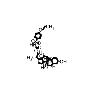 CCCOc1ccc(S(=O)(=O)NC(=O)OC[C@@H](C)[C@H]2CC[C@H]3[C@@H]4[C@H](O)C[C@@H]5C[C@H](O)CC[C@]5(C)[C@H]4CC[C@]23C)cc1